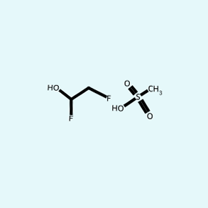 CS(=O)(=O)O.OC(F)CF